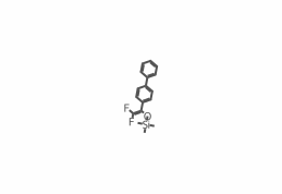 C[Si](C)(C)OC(=C(F)F)c1ccc(-c2ccccc2)cc1